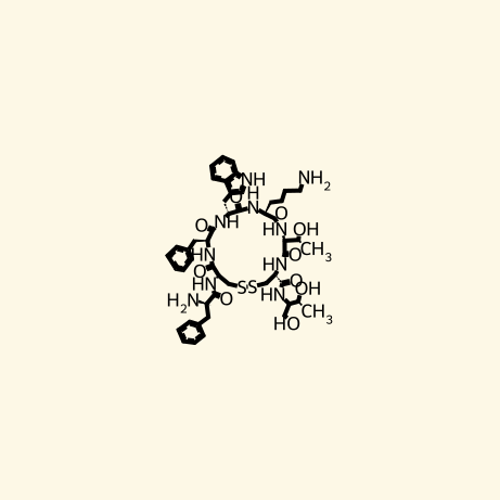 C[C@@H](O)C(CO)NC(=O)[C@@H]1CSSC[C@H](NC(=O)[C@H](N)Cc2ccccc2)C(=O)N[C@@H](Cc2ccccc2)C(=O)N[C@H](Cc2c[nH]c3ccccc23)C(=O)N[C@@H](CCCCN)C(=O)N[C@@H]([C@@H](C)O)C(=O)N1